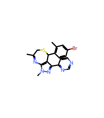 CC1=Nc2c(c(-c3ccncn3)nn2C)C(c2ccc(Br)cc2C)SC1